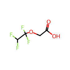 O=C(O)COC(F)(F)C(F)F